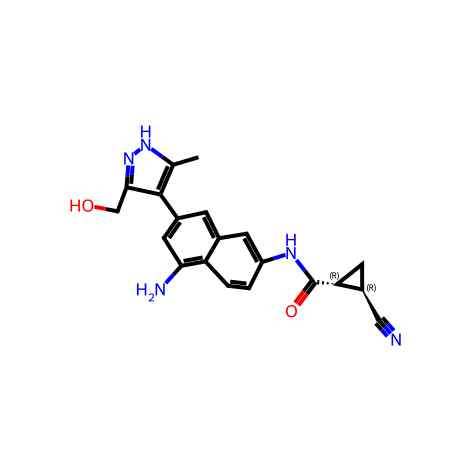 Cc1[nH]nc(CO)c1-c1cc(N)c2ccc(NC(=O)[C@@H]3C[C@H]3C#N)cc2c1